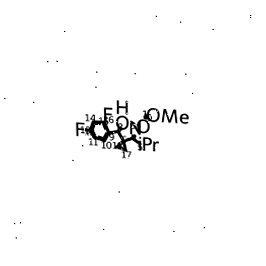 COCON=C(C(C)C)C1(C(O)c2ccc(F)cc2F)CC1